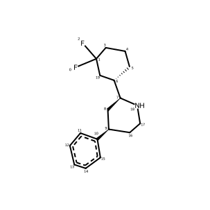 FC1(F)CCC[C@H]([C@@H]2C[C@H](c3ccccc3)CCN2)C1